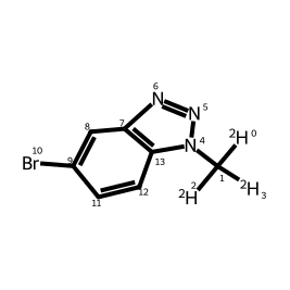 [2H]C([2H])([2H])n1nnc2cc(Br)ccc21